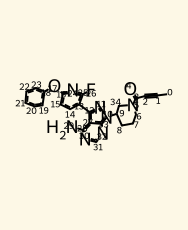 CC#CC(=O)N1CCCC(n2nc(-c3ccc(Oc4ccccc4)nc3F)c3c(N)ncnc32)C1